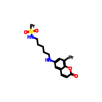 CC(C)c1cc(NCCCCCNS(=O)(=O)C(C)C)cc2ccc(=O)oc12